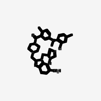 CCn1cncc1Cn1c(CN2CCN(C(=O)c3cc(N(C)c4ccc(C)cc4Cl)ccc3C)CC2)nc2ccc(C(=O)O)cc21